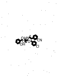 C[C@H](NC(=O)C(C)(C)OC(=O)c1ccccc1O)[C@@H](Cc1ccc(Cl)cc1)c1cccc(C#N)c1